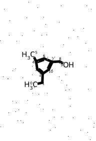 CCc1cc(C)cc([CH]O)c1